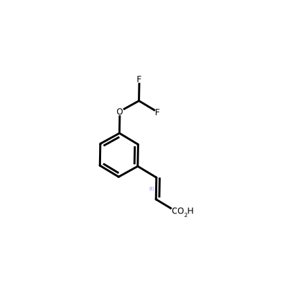 O=C(O)/C=C/c1cccc(OC(F)F)c1